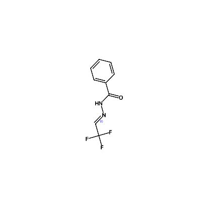 O=C(N/N=C/C(F)(F)F)c1ccccc1